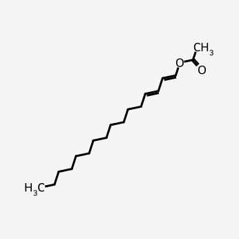 CCCCCCCCCCCC/C=C/C=C/OC(C)=O